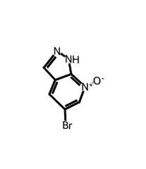 [O-][n+]1cc(Br)cc2cn[nH]c21